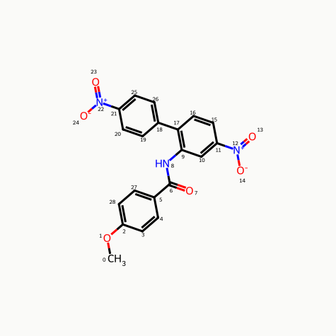 COc1ccc(C(=O)Nc2cc([N+](=O)[O-])ccc2-c2ccc([N+](=O)[O-])cc2)cc1